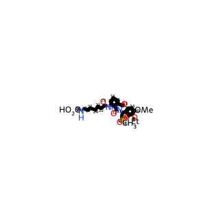 CCOc1cc(C(CS(C)(=O)=O)N2C(=O)c3cccc(NC(=O)CCCCCCNC(=O)O)c3C2=O)ccc1OC